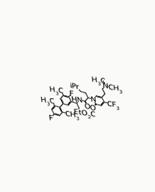 CCOC(=O)CC(NC(=O)C(CCC(C)C)n1cc(CCN(C)C)c(C(F)(F)F)cc1=O)c1cc(-c2c(C)cc(F)cc2C)cc(C)c1F